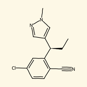 CC[C@H](c1cnn(C)c1)c1cc(Cl)ccc1C#N